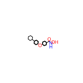 O=C(NO)c1ccc(Oc2ccc(C3CCCCC3)cc2)cc1